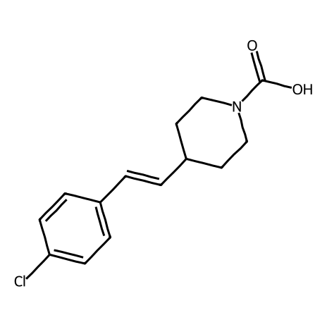 O=C(O)N1CCC(/C=C/c2ccc(Cl)cc2)CC1